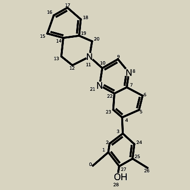 Cc1cc(-c2ccc3ncc(N4CCc5ccccc5C4)nc3c2)cc(C)c1O